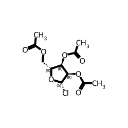 CC(=O)OC[C@H]1O[C@@H](Cl)[C@H](OC(C)=O)[C@@H]1OC(C)=O